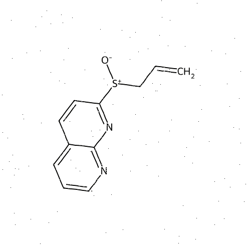 C=CC[S+]([O-])c1ccc2cc[c]nc2n1